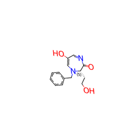 O=C1N=CC(O)=CN(Cc2ccccc2)[C@H]1CCO